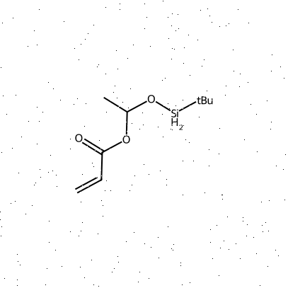 C=CC(=O)OC(C)O[SiH2]C(C)(C)C